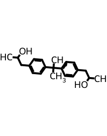 CC(C)(c1ccc(CC(O)C=O)cc1)c1ccc(CC(O)C=O)cc1